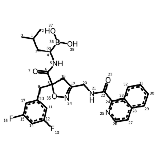 CC(C)C[C@H](NC(=O)C1(Cc2cc(F)cc(F)c2)CC(CNC(=O)c2nccc3ccccc23)=NO1)B(O)O